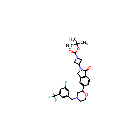 CC(C)(C)OC(=O)N1CC(N2Cc3cc(C4CN(Cc5cc(F)cc(C(F)(F)F)c5)CCO4)ccc3C2=O)C1